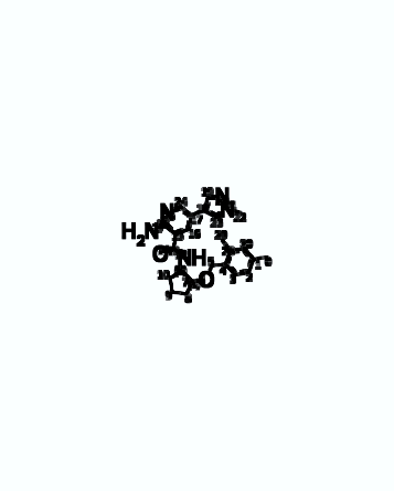 Cc1ccc(CO[C@H]2CCC[C@@H]2NC(=O)c2cc(-c3cnn(C)c3)cnc2N)c(C)c1